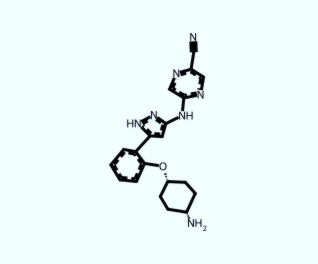 N#Cc1cnc(Nc2cc(-c3ccccc3O[C@H]3CC[C@@H](N)CC3)[nH]n2)cn1